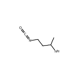 CCCC(C)[CH]CN=C=O